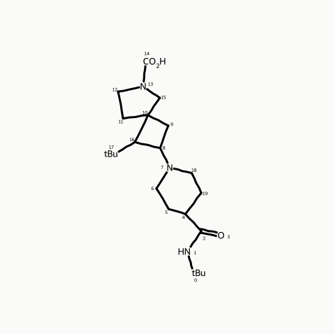 CC(C)(C)NC(=O)C1CCN(C2CC3(CCN(C(=O)O)C3)C2C(C)(C)C)CC1